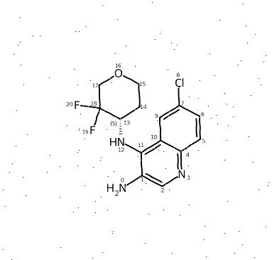 Nc1cnc2ccc(Cl)cc2c1N[C@H]1CCOCC1(F)F